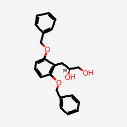 OC[C@@H](O)Cc1c(OCc2ccccc2)cccc1OCc1ccccc1